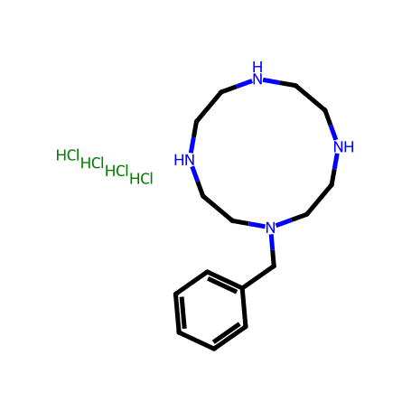 Cl.Cl.Cl.Cl.c1ccc(CN2CCNCCNCCNCC2)cc1